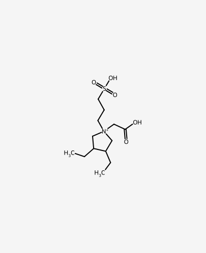 CCC1C[N+](CCCS(=O)(=O)O)(CC(=O)O)CC1CC